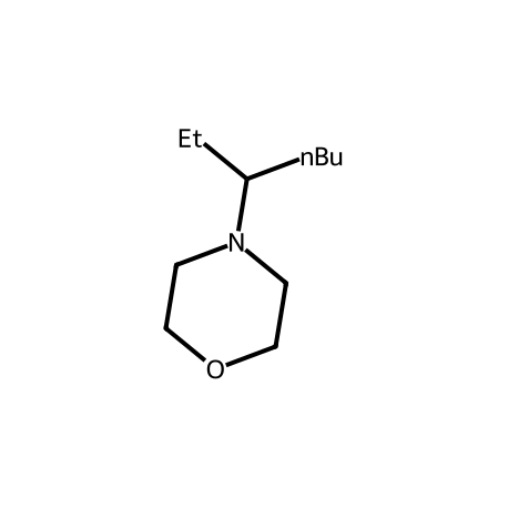 CCCCC(CC)N1CCOCC1